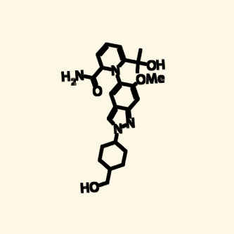 COc1cc2nn(C3CCC(CO)CC3)cc2cc1N1C(C(C)(C)O)=CC=CC1C(N)=O